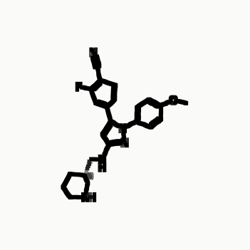 COc1ccc(-n2nc(NC[C@H]3CCCNC3)cc2-c2ccc(C#N)c(F)c2)cc1